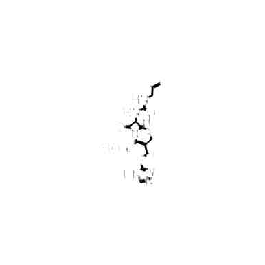 C=CCNC(=O)NC1C(=O)N2C(C(=O)O)=C(CSc3nnc[nH]3)CS[C@@H]12